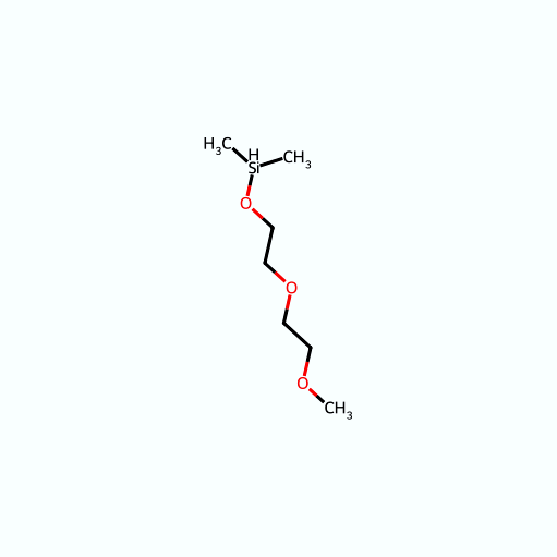 COCCOCCO[SiH](C)C